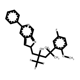 COc1ccc(F)cc1C(C)(C)CC(O)(CC1C=c2cc(-c3ccccc3)ncc2=N1)C(F)(F)F